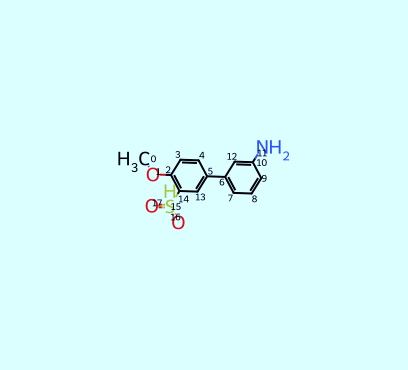 COc1ccc(-c2cccc(N)c2)cc1[SH](=O)=O